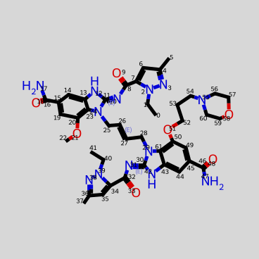 CCn1nc(C)cc1C(=O)/N=c1\[nH]c2cc(C(N)=O)cc(OC)c2n1C/C=C/Cn1/c(=N/C(=O)c2cc(C)nn2CC)[nH]c2cc(C(N)=O)cc(OCCCN3CCOCC3)c21